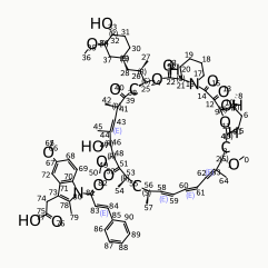 CO[C@H]1C[C@@H]2CC[C@@H](C)[C@@](O)(O2)C(=O)C(=O)N2CCCC[C@H]2C(=O)O[C@H]([C@H](C)C[C@@H]2CC[C@@H](O)[C@H](OC)C2)CC(=O)[C@H](C)/C=C(\C)[C@@H](O)[C@@H](OC)C(=O)[C@H](C)C[C@H](C)/C=C/C=C/C=C/1C.COc1ccc2c(c1)c(CC(=O)O)c(C)n2C(=O)/C=C/c1ccccc1